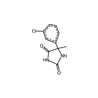 CC1(c2cccc(Cl)c2)NC(=O)NC1=O